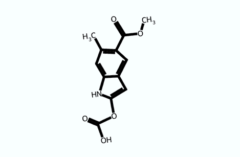 COC(=O)c1cc2cc(OC(=O)O)[nH]c2cc1C